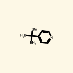 BC(B)(c1ccncc1)C(C)(C)C